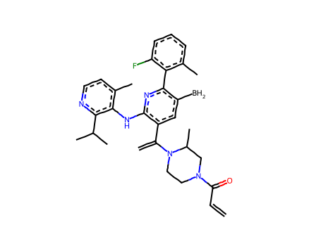 Bc1cc(C(=C)N2CCN(C(=O)C=C)CC2C)c(Nc2c(C)ccnc2C(C)C)nc1-c1c(C)cccc1F